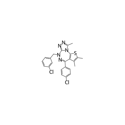 Cc1sc2c(c1C)C(c1ccc(Cl)cc1)=NN(Cc1cccc(Cl)c1)c1nnc(C)n1-2